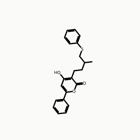 CC(CCc1c(O)cc(-c2ccccc2)oc1=O)CSc1ccccc1